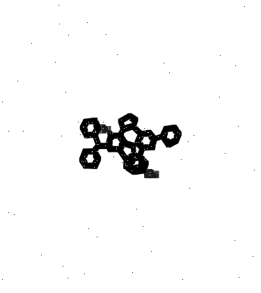 CC(C)(C)c1ccc2c(c1)[C]=c1c-2cc(=C(c2ccccc2)c2ccccc2)c(C(C)(C)C)c1C1=C(c2cc(-c3ccccc3)cc(-c3ccccc3)c2)C=CC1